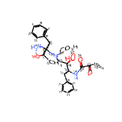 CC(O)C(N)(Cc1ccccc1)N(CC(O)C(Cc1ccccc1)NC(=O)C(=O)C(C)(C)C)C(=O)O